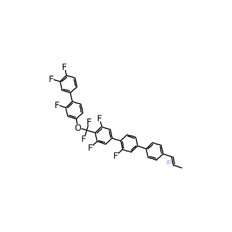 C/C=C/c1ccc(-c2ccc(-c3cc(F)c(C(F)(F)Oc4ccc(-c5ccc(F)c(F)c5)c(F)c4)c(F)c3)c(F)c2)cc1